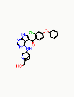 O=C(c1ccc(Oc2ccccc2)cc1Cl)c1c[nH]c2ncnc(NC3CN4CCC3CC4CO)c12